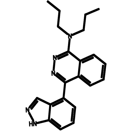 CCCN(CCC)c1nnc(-c2cccc3[nH]ncc23)c2ccccc12